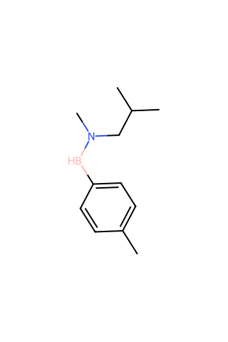 Cc1ccc(BN(C)CC(C)C)cc1